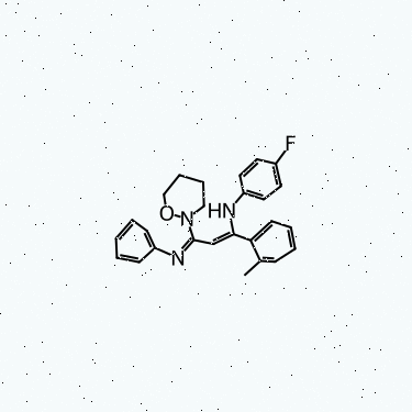 Cc1ccccc1C(=CC(=Nc1ccccc1)N1CCCCO1)Nc1ccc(F)cc1